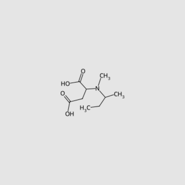 CCC(C)N(C)C(CC(=O)O)C(=O)O